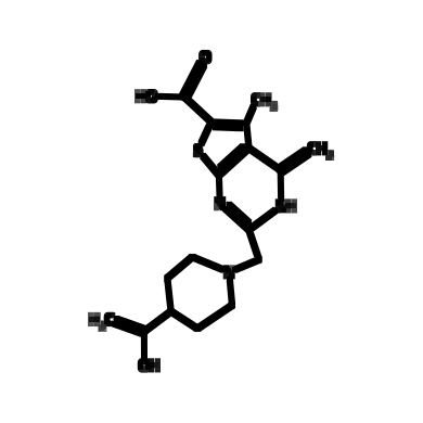 C=C1NC(CN2CCC(C(=C)O)CC2)=Nc2sc(C(=O)O)c(C)c21